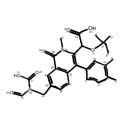 Cc1ccc(-c2c(C(OC(C)(C)C)C(=O)O)n(C)c(=O)c3cc(CN(C=O)C(=O)O)ccc23)cc1C